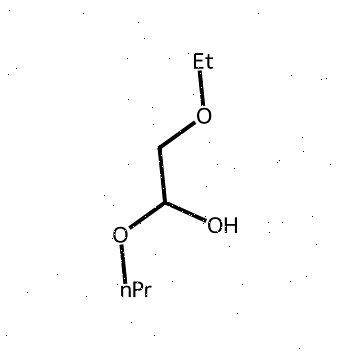 CCCOC(O)COCC